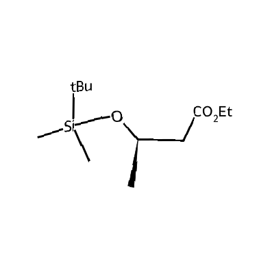 CCOC(=O)C[C@@H](C)O[Si](C)(C)C(C)(C)C